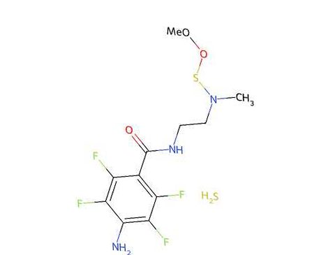 COOSN(C)CCNC(=O)c1c(F)c(F)c(N)c(F)c1F.S